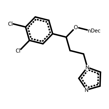 CCCCCCCCCCOC(CCn1ccnc1)c1ccc(Cl)c(Cl)c1